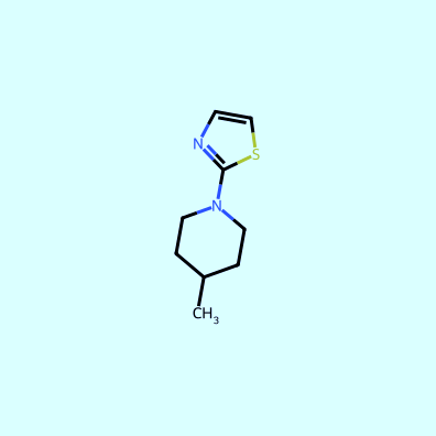 CC1CCN(c2nccs2)CC1